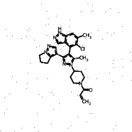 C=CC(=O)N1CCC(n2nc(-c3cnn4c3CCC4)c(-c3c(Cl)c(C)cc4[nH]ncc34)c2C)CC1